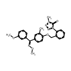 CO/N=C(/c1cccc(OC)c1)c1ccc(OCc2ccccc2-n2nnn(C)c2=O)c(C)c1